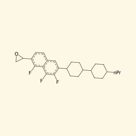 CCCC1CCC(C2CCC(c3cc4ccc(C5CO5)c(F)c4c(F)c3F)CC2)CC1